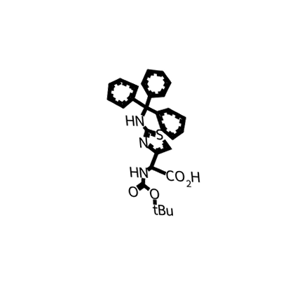 CC(C)(C)OC(=O)NC(C(=O)O)c1csc(NC(c2ccccc2)(c2ccccc2)c2ccccc2)n1